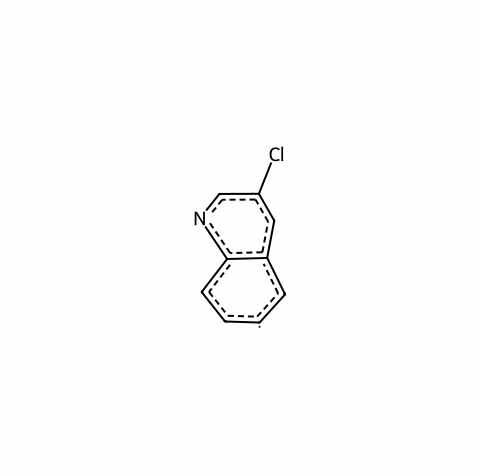 Clc1cnc2cc[c]cc2c1